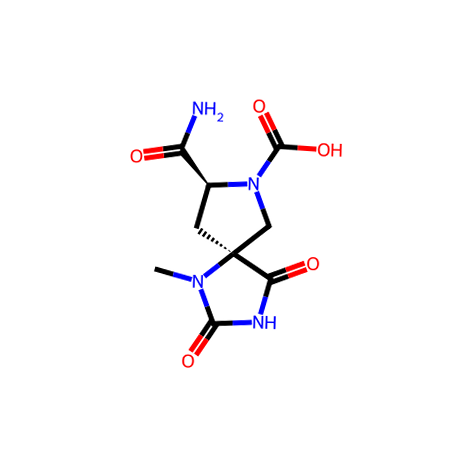 CN1C(=O)NC(=O)[C@@]12C[C@@H](C(N)=O)N(C(=O)O)C2